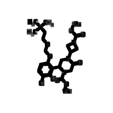 CC(C)(C)OC(=O)N1CC(N2CC(c3c(OCOCC[Si](C)(C)C)ccc(Cl)c3Cl)N(C(=O)OC(C)(C)C)CC2=O)C1